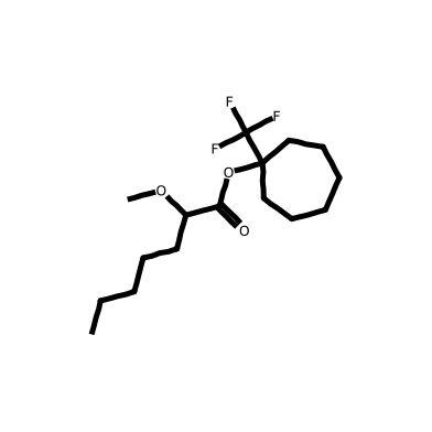 CCCCCC(OC)C(=O)OC1(C(F)(F)F)CCCCCC1